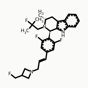 C[C@@H]1Cc2c([nH]c3ccccc23)[C@@H](c2c(F)cc(/C=C/CN3CC(CF)C3)cc2F)N1CC(C)(C)F